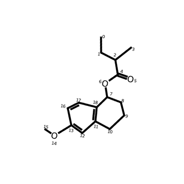 CCC(C)C(=O)OC1CCCc2cc(OC)ccc21